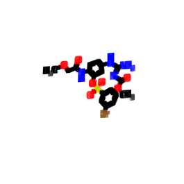 COCC(=O)Nc1ccc(NC(N)=NC(=O)OC)cc1OS(=O)(=O)c1cccc(Br)c1